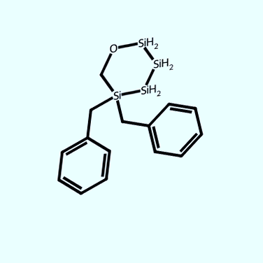 c1ccc(C[Si]2(Cc3ccccc3)CO[SiH2][SiH2][SiH2]2)cc1